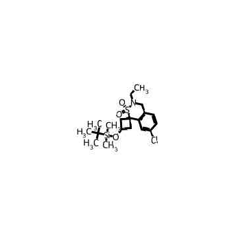 CCN1Cc2ccc(Cl)cc2C2(CC(O[Si](C)(C)C(C)(C)C)C2)S1(=O)=O